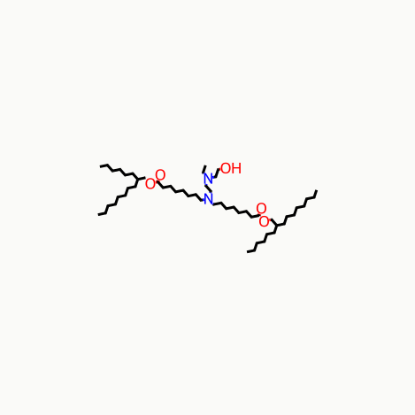 CCCCCCCCC(CCCCCC)COC(=O)CCCCCCCN(CCCCCCCC(=O)OCC(CCCCCC)CCCCCCCC)CCN(CC)CCO